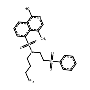 Cc1cnc(O)c2cccc(S(=O)(=O)N(CCCN)CCS(=O)(=O)c3ccccc3)c12